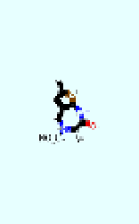 Cc1cc2c(s1)NC(=O)[C@H](C)N(C(=O)O)C2